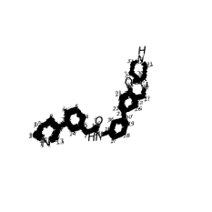 O=C(Cc1cccc(-c2cccnc2)c1)Nc1cccc(-c2ccc3c(c2)COC2(CCNCC2)O3)c1